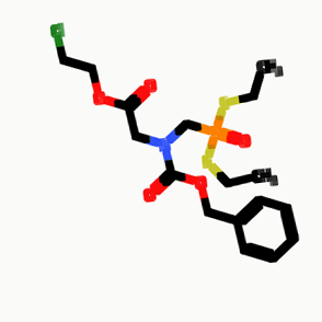 CCSP(=O)(CN(CC(=O)OCCCl)C(=O)OCc1ccccc1)SCC